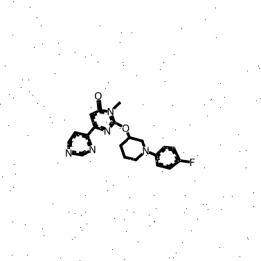 Cn1c(OC2CCCN(c3ccc(F)cc3)C2)nc(-c2ccncn2)cc1=O